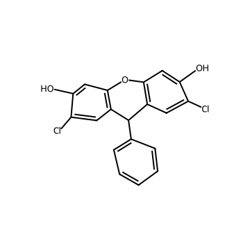 Oc1cc2c(cc1Cl)C(c1ccccc1)c1cc(Cl)c(O)cc1O2